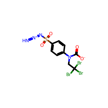 N=[N+]=NS(=O)(=O)c1ccc(N(CC(Br)(Br)Br)C(=O)[O-])cc1